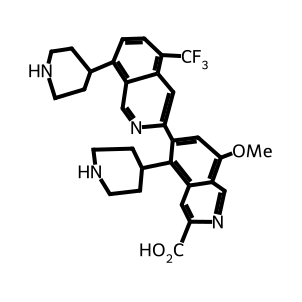 COc1cc(-c2cc3c(C(F)(F)F)ccc(C4CCNCC4)c3cn2)c(C2CCNCC2)c2cc(C(=O)O)ncc12